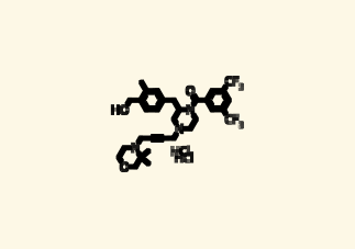 Cc1cc(CC2CN(CC#CCN3CCOCC3(C)C)CCN2C(=O)c2cc(C(F)(F)F)cc(C(F)(F)F)c2)ccc1CO.Cl.Cl